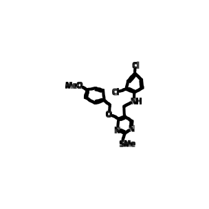 COc1ccc(COc2nc(SC)ncc2CNc2ccc(Cl)cc2Cl)cc1